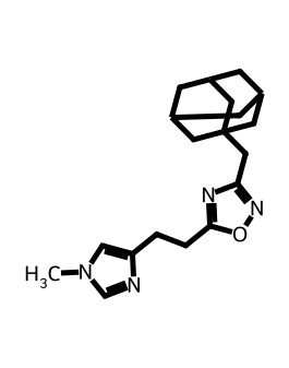 Cn1cnc(CCc2nc(CC34CC5CC(CC(C5)C3)C4)no2)c1